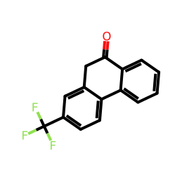 O=C1Cc2cc(C(F)(F)F)ccc2-c2ccccc21